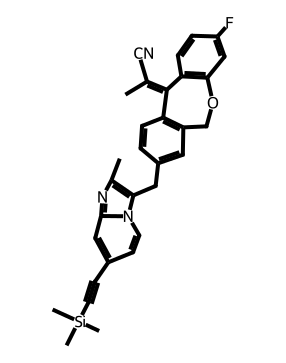 C/C(C#N)=C1\c2ccc(Cc3c(C)nc4cc(C#C[Si](C)(C)C)ccn34)cc2COc2cc(F)ccc21